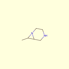 CC1C2CNCCN12